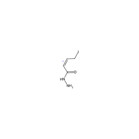 NNC(=O)/C=C\CI